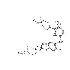 Cc1cc(SC2(C(C)(C)C)CC3(CCN(C(=O)O)CC3)C2)ccc1Nc1ncc(C(F)(F)F)c(C2CCC3(CC2)OCCO3)n1